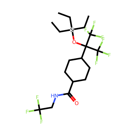 CC[Si](CC)(CC)OC(C1CCC(C(=O)NCC(F)(F)F)CC1)(C(F)(F)F)C(F)(F)F